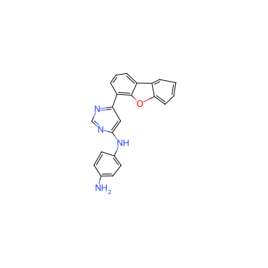 Nc1ccc(Nc2cc(-c3cccc4c3oc3ccccc34)ncn2)cc1